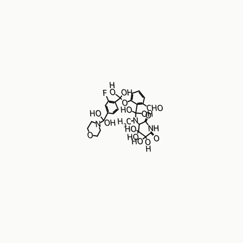 CN(C1C(=O)NC(=O)C(O)(O)C1(O)O)C(O)(O)c1c(C=O)cccc1OC(O)(O)c1ccc(C(O)(O)N2CCOCC2)cc1F